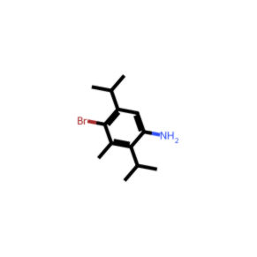 Cc1c(Br)c(C(C)C)cc(N)c1C(C)C